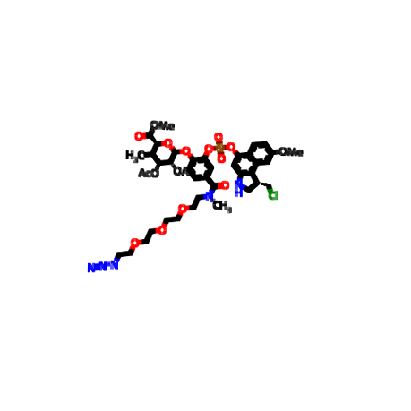 COC(=O)[C@H]1OC(Oc2ccc(C(=O)N(C)CCOCCOCCOCCN=[N+]=[N-])cc2OS(=O)(=O)Oc2cc3c(c4cc(OC)ccc24)[C@H](CCl)CN3)[C@H](OC(C)=O)[C@@H](OC(C)=O)C1C